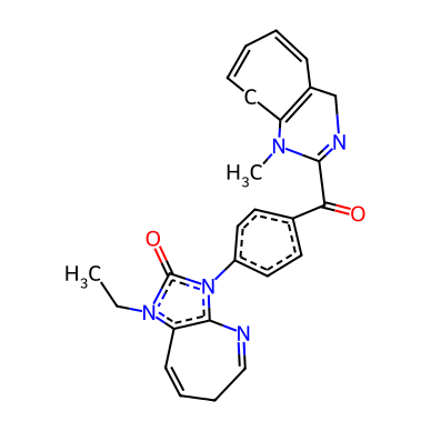 CCn1c2c(n(-c3ccc(C(=O)C4=NCC5=C(CC=CC=C5)N4C)cc3)c1=O)N=CCC=C2